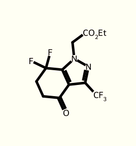 CCOC(=O)Cn1nc(C(F)(F)F)c2c1C(F)(F)CCC2=O